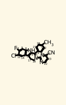 Cc1ccc(C2c3[nH]c4cc(F)c(Cl)cc4c3CCN2c2nccc(C#N)n2)cc1